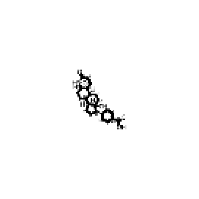 C[C@]12C=CC(=O)N[C@@H]1CC[C@@H]1[C@@H]2CC[C@]2(C)[C@@H](c3ccc(C(=O)O)cc3)CC[C@@H]12